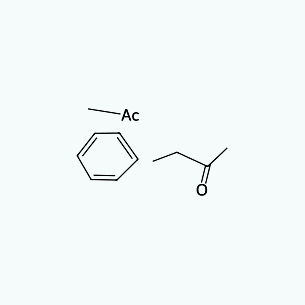 CC(C)=O.CCC(C)=O.c1ccccc1